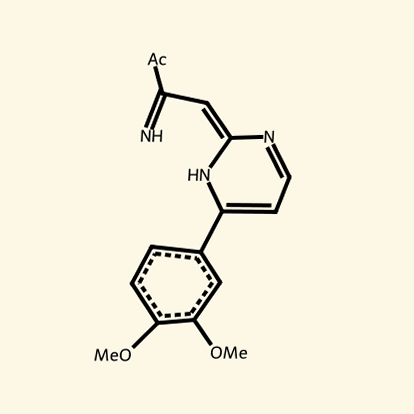 COc1ccc(C2=CC=N/C(=C/C(=N)C(C)=O)N2)cc1OC